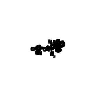 CC(C)(CCC(C(N)=O)(c1ccccc1)c1ccccc1)N1CC(OCc2ccc(Cl)c(O)c2)C1